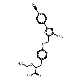 CCOC(Cc1ccc(OCc2sc(-c3ccc(C#N)cc3)cc2C)cc1)C(=O)O